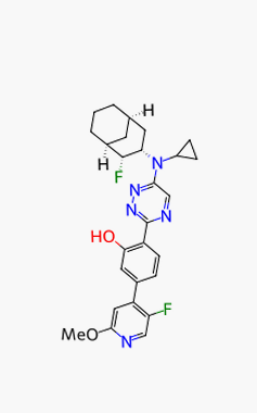 COc1cc(-c2ccc(-c3ncc(N(C4CC4)[C@H]4C[C@@H]5CCC[C@@H](C5)[C@H]4F)nn3)c(O)c2)c(F)cn1